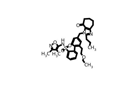 CCCc1nc2c(n1Cc1ccc(-c3ccccc3S(=O)(=O)Nc3onc(C)c3C)c(CCOCC)c1)C(=O)CCCC2